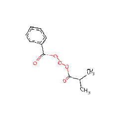 CC(C)C(=O)OOOC(=O)c1ccccc1